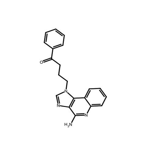 Nc1nc2ccccc2c2c1ncn2CCCC(=O)c1ccccc1